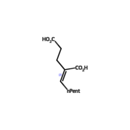 CCCCC/C=C(/CCC(=O)O)C(=O)O